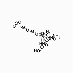 CC(C)C(NC(=O)CCOCCOCCOCCOCCCC1C(=O)C=CC1=O)C(=O)N[C@@H](CCCNC(N)=O)C(=O)Nc1ccc(CO)cc1